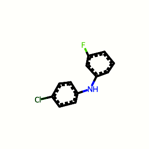 Fc1cccc(Nc2ccc(Cl)cc2)c1